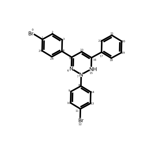 Brc1ccc(C2=NN(c3ccc(Br)cc3)NC(c3ccccc3)=C2)cc1